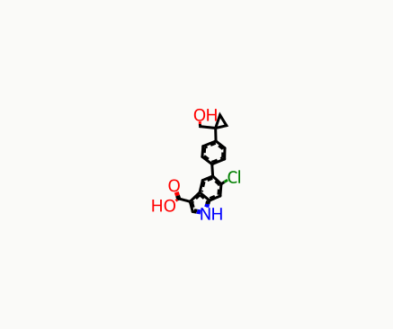 O=C(O)c1c[nH]c2cc(Cl)c(-c3ccc(C4(CO)CC4)cc3)cc12